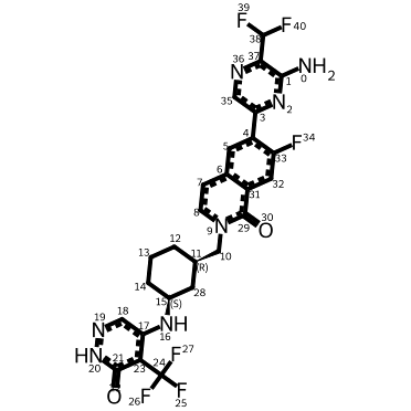 Nc1nc(-c2cc3ccn(C[C@@H]4CCC[C@H](Nc5cn[nH]c(=O)c5C(F)(F)F)C4)c(=O)c3cc2F)cnc1C(F)F